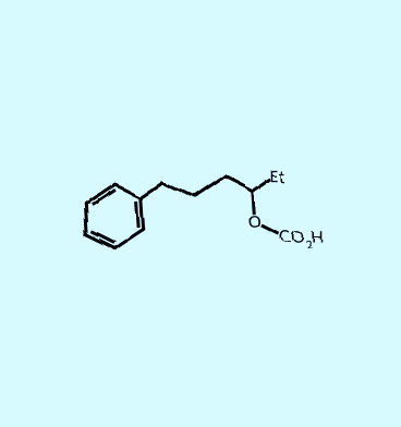 CCC(CCCc1ccccc1)OC(=O)O